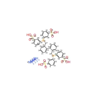 N.N.N.N.O=S(=O)(O)c1cccc(P(Cc2ccccc2-c2ccccc2CP(c2cccc(S(=O)(=O)O)c2)c2cccc(S(=O)(=O)O)c2)c2cccc(S(=O)(=O)O)c2)c1